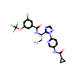 CC[C@H](NC(=O)c1cc(Cl)cc(OC(F)(F)F)c1)c1ncnn1-c1ccc(NC(=O)C2CC2)cn1